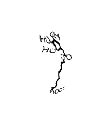 CCCCCCCCCCCCCCCCCCOC(=O)Cc1cc(O)c(O)c(O)c1